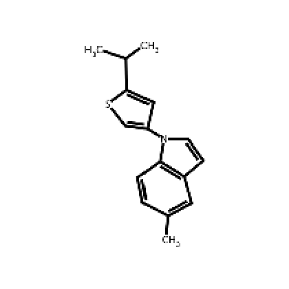 Cc1ccc2c(ccn2-c2csc(C(C)C)c2)c1